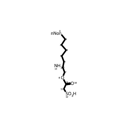 CCCCCCCCCCCCCCCCOC(=O)CS(=O)(=O)O.N